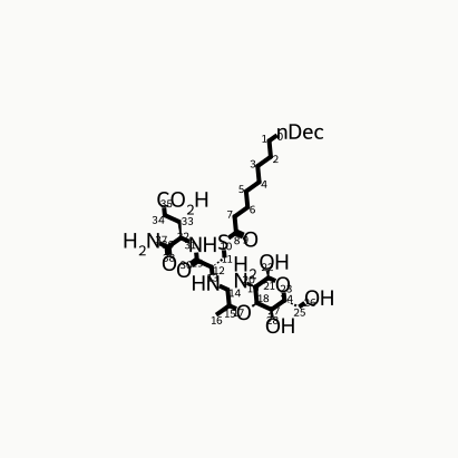 CCCCCCCCCCCCCCCCCC(=O)SC[C@H](NCC(C)O[C@@H]1[C@@H](N)[C@@H](O)O[C@H](CO)[C@H]1O)C(=O)N[C@H](CCC(=O)O)C(N)=O